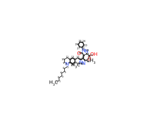 CCCCCCCCN1CCCc2cc(/C=c3/c(=C4\C(=O)N(c5ccccc5)N=C4C(=O)O)c(C)nn3C)ccc21